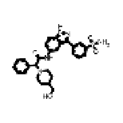 NS(=O)(=O)c1cccc(-c2n[nH]c3ccc(NC(=O)C(c4ccccc4)N4CCC(CO)CC4)cc23)c1